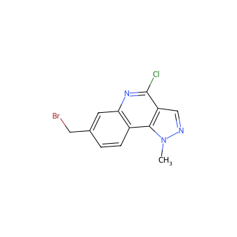 Cn1ncc2c(Cl)nc3cc(CBr)ccc3c21